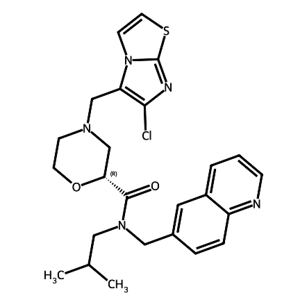 CC(C)CN(Cc1ccc2ncccc2c1)C(=O)[C@H]1CN(Cc2c(Cl)nc3sccn23)CCO1